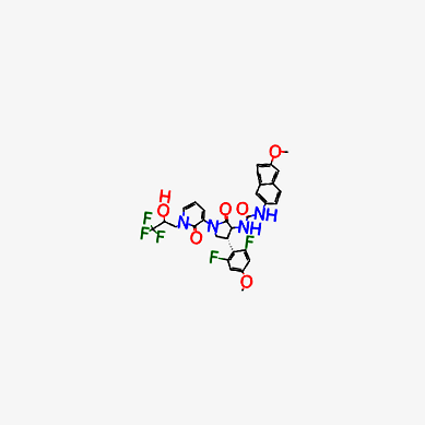 COc1cc(F)c([C@@H]2CN(c3cccn(CC(O)C(F)(F)F)c3=O)C(=O)C2NC(=O)Nc2ccc3cc(OC)ccc3c2)c(F)c1